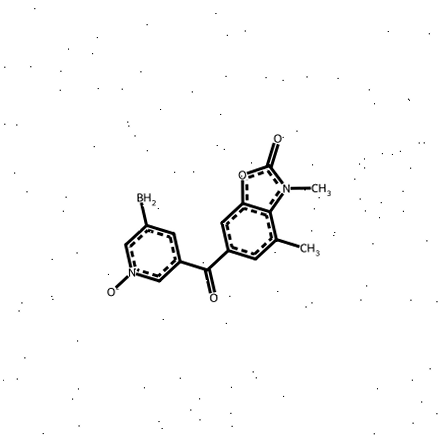 Bc1cc(C(=O)c2cc(C)c3c(c2)oc(=O)n3C)c[n+]([O-])c1